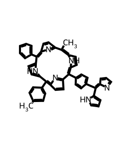 Cc1ccc(-c2c3nc(c(-c4ccc(/C(=C5\C=CC=N5)c5ccc[nH]5)cc4)c4ccc([nH]4)c(C)c4nc(c(-c5ccccc5)c5ccc2[nH]5)C=C4)C=C3)cc1